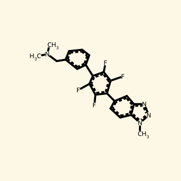 CN(C)Cc1cccc(-c2c(F)c(F)c(-c3ccc4c(c3)nnn4C)c(F)c2F)c1